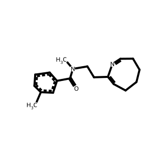 Cc1cccc(C(=O)N(C)CCC2=C/CCCC/C=N\2)c1